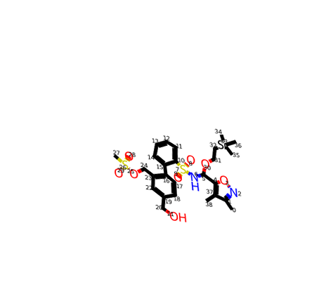 Cc1noc(C(NS(=O)(=O)c2ccccc2-c2ccc(CO)cc2COS(C)(=O)=O)OCC[Si](C)(C)C)c1C